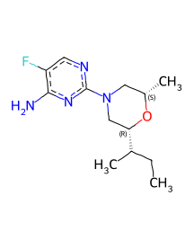 CCC(C)[C@@H]1CN(c2ncc(F)c(N)n2)C[C@H](C)O1